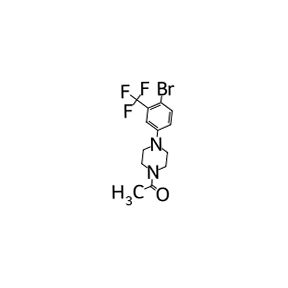 CC(=O)N1CCN(c2ccc(Br)c(C(F)(F)F)c2)CC1